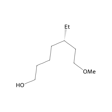 CC[C@@H](CCCCO)CCOC